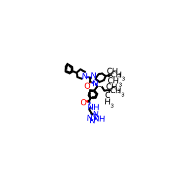 CC(C)(C)CC[C@H](c1ccc(C(=O)NCc2nn[nH]n2)cc1)N1C(=O)C(N2CCC(c3ccccc3)CC2)=NC12CCC(C(C)(C)C)CC2